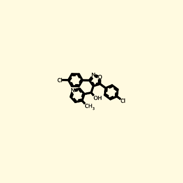 Cc1ccncc1C(O)c1c(-c2ccc(Cl)cc2)noc1-c1ccc(Cl)cc1